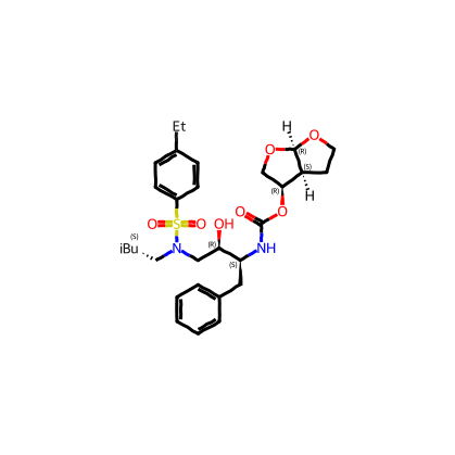 CCc1ccc(S(=O)(=O)N(C[C@@H](C)CC)C[C@@H](O)[C@H](Cc2ccccc2)NC(=O)O[C@H]2CO[C@H]3OCC[C@H]32)cc1